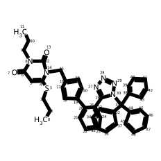 CCCSc1cc(=O)n(CCC)c(=O)n1Cc1ccc(-c2ccccc2-c2nnnn2C(c2ccccc2)(c2ccccc2)c2ccccc2)cc1